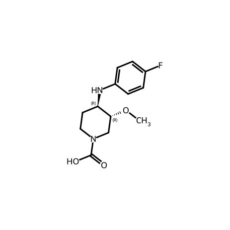 CO[C@@H]1CN(C(=O)O)CC[C@H]1Nc1ccc(F)cc1